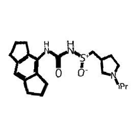 CC(C)N1CCC(C[S+]([O-])NC(=O)Nc2c3c(cc4c2CCC4)CCC3)C1